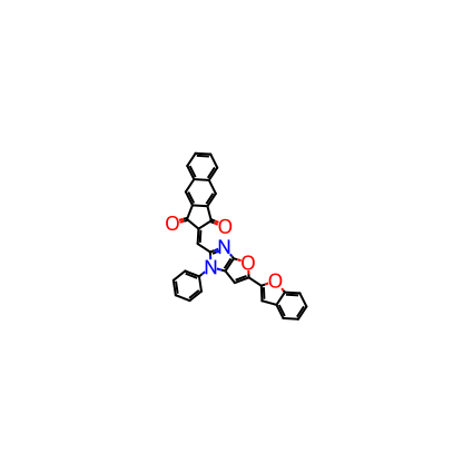 O=C1C(=Cc2nc3oc(-c4cc5ccccc5o4)cc3n2-c2ccccc2)C(=O)c2cc3ccccc3cc21